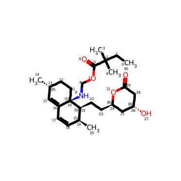 CCC(C)(C)C(=O)OCN[C@]12CC[C@@H](C)C=C1C=C[C@H](C)[C@@H]2CC[C@@H]1C[C@@H](O)CC(=O)O1